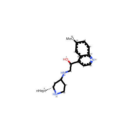 CCCCCCC[C@@H]1CC(NCC(O)c2ccnc3ccc(OC)cc23)CCN1